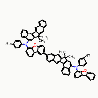 CC(C)c1ccc(N(c2cc3c(c4ccccc24)-c2cc4ccc(-c5ccc6oc7c(N(c8ccc(C(C)(C)C)cc8)c8cc9c(c%10ccccc8%10)-c8cc%10ccccc%10cc8C9(C)C)cccc7c6c5)cc4cc2C3(C)C)c2cccc3c2oc2ccccc23)cc1